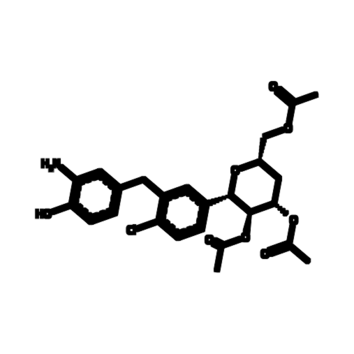 CC(=O)OC[C@@H]1C[C@H](OC(C)=O)[C@@H](OC(C)=O)[C@H](c2ccc(Cl)c(Cc3ccc(O)c(N)c3)c2)O1